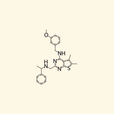 COc1cccc(CNc2nc(CNC(C)c3ccccc3)nc3sc(C)c(C)c23)c1